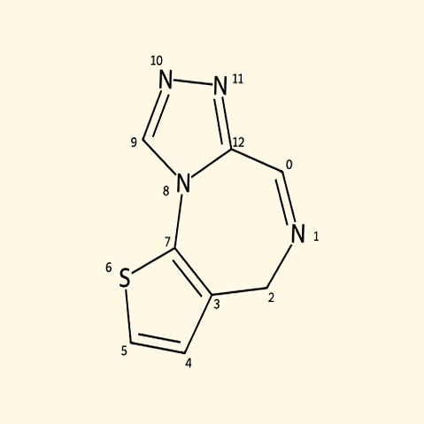 C1=NCc2ccsc2-n2cnnc21